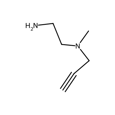 C#CCN(C)CCN